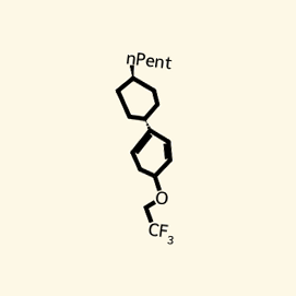 CCCCC[C@H]1CC[C@H](C2=CCC(OCC(F)(F)F)C=C2)CC1